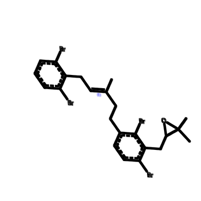 C/C(=C\Cc1c(Br)cccc1Br)CCc1ccc(Br)c(CC2OC2(C)C)c1Br